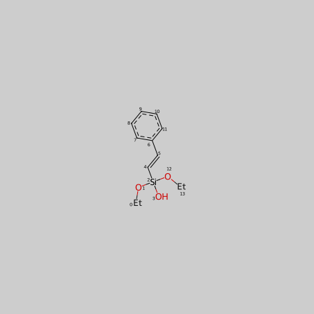 CCO[Si](O)(C=Cc1ccccc1)OCC